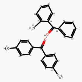 Cc1ccc(C(=O)c2ccc(C)cc2)cc1.O=C(c1ccccc1)c1ccccc1[N+](=O)[O-]